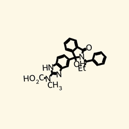 CC[C@H](c1ccccc1)N1C(=O)c2ccccc2C1(O)c1ccc2[nH]c(N(C)C(=O)O)nc2c1